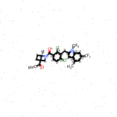 COC(=O)C12CC[C@H]1N(C(=O)c1ccc(Cl)c(Cc3cc4c(C)cc(C(F)(F)F)cc4n3C)c1Cl)C2